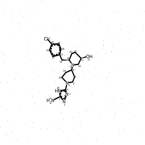 Nc1nnc(N2CCC(N3C[C@H](O)CC[C@@H]3Cc3ccc(Cl)cc3)CC2)[nH]1